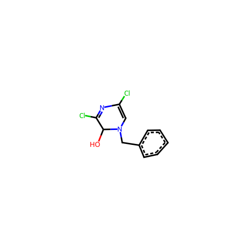 OC1C(Cl)=NC(Cl)=CN1Cc1ccccc1